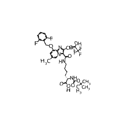 Cc1cc(OCc2c(F)cccc2F)c2nc(C)c(C(=O)NCCCC[C@H](NC(=O)OC(C)(C)C)C(=O)O)n2c1.O=C(O)C(F)(F)F